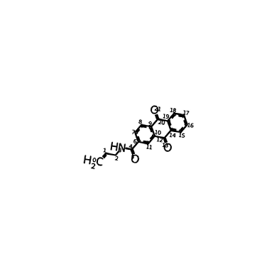 C=CCNC(=O)c1ccc2c(c1)C(=O)c1ccccc1C2=O